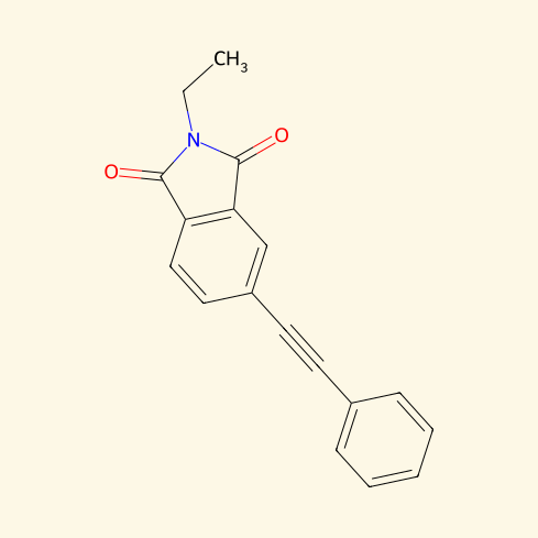 CCN1C(=O)c2ccc(C#Cc3ccccc3)cc2C1=O